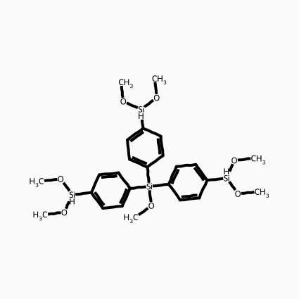 CO[SiH](OC)c1ccc([Si](OC)(c2ccc([SiH](OC)OC)cc2)c2ccc([SiH](OC)OC)cc2)cc1